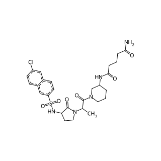 CC(C(=O)N1CCCC(NC(=O)CCCC(N)=O)C1)N1CCC(NS(=O)(=O)c2ccc3cc(Cl)ccc3c2)C1=O